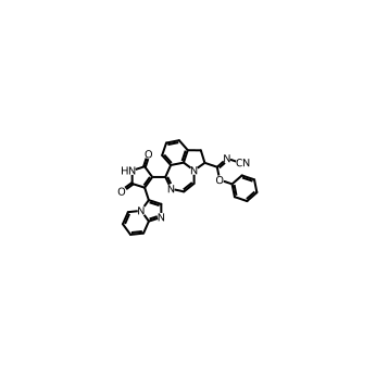 N#CN=C(Oc1ccccc1)C1Cc2cccc3c2N1C=CN=C3C1=C(c2cnc3ccccn23)C(=O)NC1=O